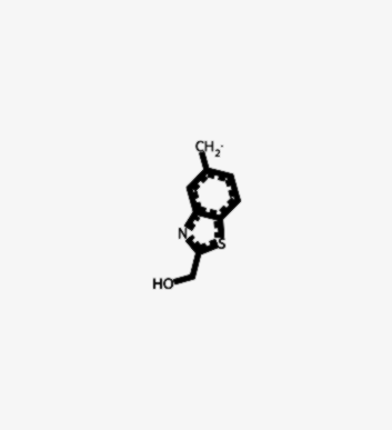 [CH2]c1ccc2sc(CO)nc2c1